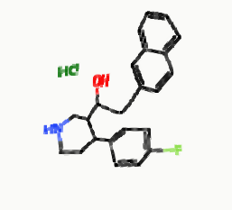 Cl.OC(Cc1ccc2ccccc2c1)C1CNCCC1c1ccc(F)cc1